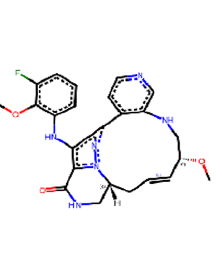 COc1c(F)cccc1Nc1c2nn3c1C(=O)NC[C@H]3C/C=C/[C@@H](OC)CNc1cnccc1-2